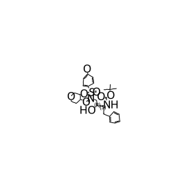 COc1ccc(S(=O)(=O)N(C[C@@H](O)[C@H](Cc2ccccc2)NC(=O)OC(C)(C)C)OC2CCOCC2)cc1